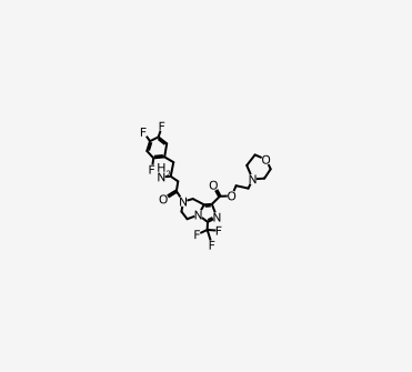 NC(CC(=O)N1CCn2c(C(F)(F)F)nc(C(=O)OCCN3CCOCC3)c2C1)Cc1cc(F)c(F)cc1F